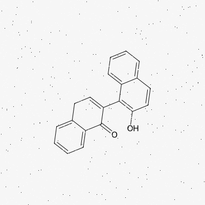 O=C1C(c2c(O)ccc3ccccc23)=CCc2ccccc21